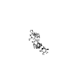 CC1CC(=O)NNC1c1ccc2[nH]c(-c3ccccn3)nc2c1